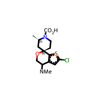 CNC1CO[C@@]2(CCN(C(=O)O)[C@@H](C)C2)c2sc(Cl)cc21